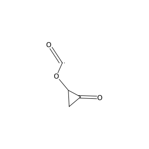 O=[C]OC1CC1=O